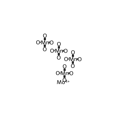 [Mo+4].[O]=[Mn](=[O])(=[O])[O-].[O]=[Mn](=[O])(=[O])[O-].[O]=[Mn](=[O])(=[O])[O-].[O]=[Mn](=[O])(=[O])[O-]